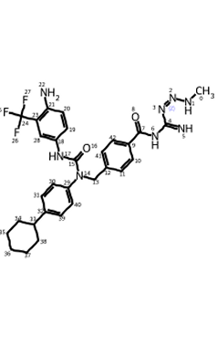 CN/N=N\C(=N)NC(=O)c1ccc(CN(C(=O)Nc2ccc(N)c(C(F)(F)F)c2)c2ccc(C3CCCCC3)cc2)cc1